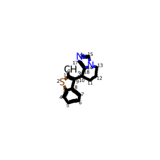 Cc1sc2ccccc2c1C1CCCn2cncc21